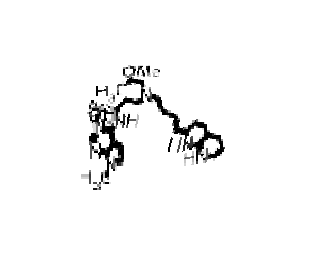 CO[C@H](C)CN(CCCCC1C=CC2=C(NCCC2)N1)CC[C@H](Nc1c2ccn(C)c2nc[n+]1O)C(C)=O